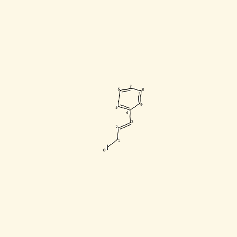 ICC=Cc1ccccc1